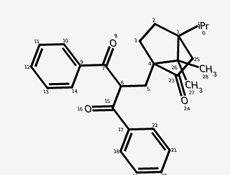 CC(C)C12CCC(CC(C(=O)c3ccccc3)C(=O)c3ccccc3)(C(=O)C1)C2(C)C